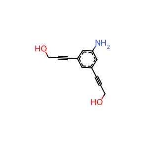 Nc1cc(C#CCO)cc(C#CCO)c1